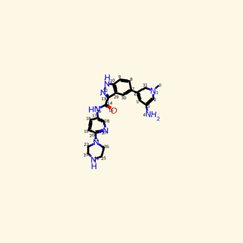 CN1C=C(N)C=C(c2ccc3[nH]nc(C(=O)Nc4ccc(N5CCNCC5)nc4)c3c2)C1